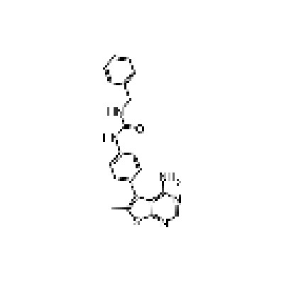 Cc1sc2ncnc(N)c2c1-c1ccc(NC(=O)NCc2ccccc2)cc1